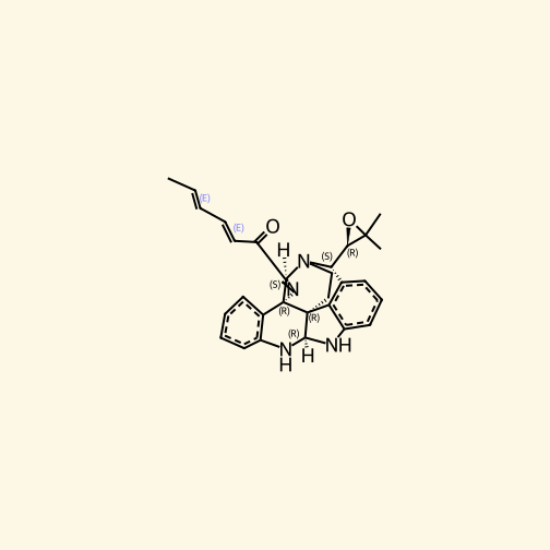 C/C=C/C=C/C(=O)N1CC[C@@]23c4ccccc4N[C@@H]4Nc5cccc6c5[C@@]42CCN([C@@H]13)[C@@H]6[C@H]1OC1(C)C